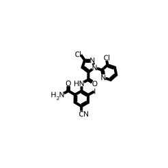 N#Cc1cc(I)c(NC(=O)c2cc(Cl)nn2-c2ncccc2Cl)c(C(N)=O)c1